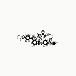 C=C(F)C(=O)N1CC(n2nc(-c3ccc(C(F)(F)F)cc3)c3cccc(C(=O)Nc4ccc(C(=O)NC(C)C)cc4)c32)C1